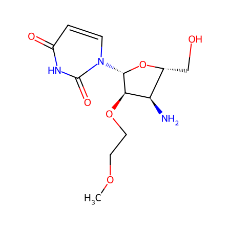 COCCO[C@@H]1[C@H](N)[C@@H](CO)O[C@H]1n1ccc(=O)[nH]c1=O